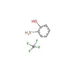 F[B-](F)(F)F.Oc1ccccc1[SH2+]